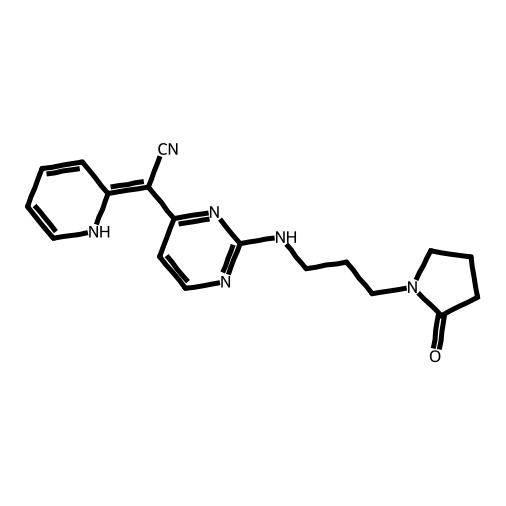 N#C/C(=C1\C=CC=CN1)c1ccnc(NCCCN2CCCC2=O)n1